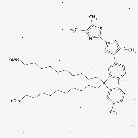 CCCCCCCCCCCCCCCCCCCCC1(CCCCCCCCCCCCCCCCCCCC)c2cc(C)ccc2-c2ccc(-c3sc(-c4nc(C)c(C)s4)nc3C)cc21